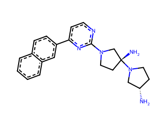 N[C@H]1CCN([C@]2(N)CCN(c3nccc(-c4ccc5ccccc5c4)n3)C2)C1